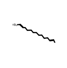 [CH2]C=CCCCCCCCCCC=CCCCC